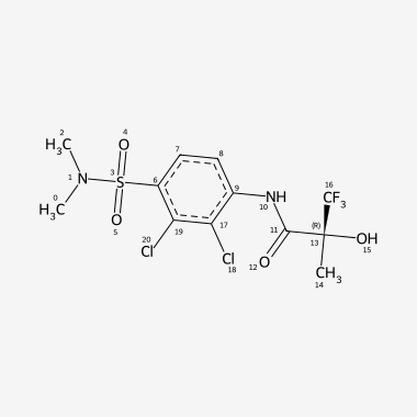 CN(C)S(=O)(=O)c1ccc(NC(=O)[C@@](C)(O)C(F)(F)F)c(Cl)c1Cl